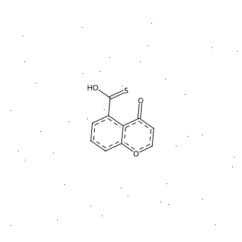 O=c1ccoc2cccc(C(O)=S)c12